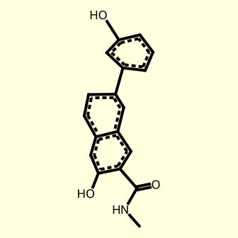 CNC(=O)c1cc2cc(-c3cccc(O)c3)ccc2cc1O